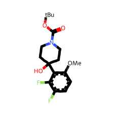 COc1ccc(F)c(F)c1C1(O)CCN(C(=O)OC(C)(C)C)CC1